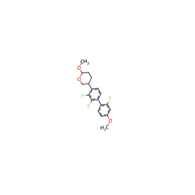 COc1ccc(-c2ccc(C3CCC(OC)OC3)c(F)c2F)c(F)c1